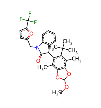 Cc1c2c(c(C)c(C(C)(C)C)c1C1C(=O)N(Cc3ccc(C(F)(F)F)o3)c3ccccc31)OC(O[SiH3])O2